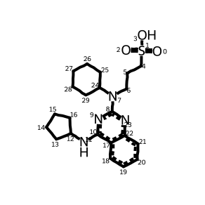 O=S(=O)(O)CCCN(c1nc(NC2CCCC2)c2ccccc2n1)C1CCCCC1